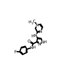 CN1C=CN=C(Nc2c[nH]nc2C(=O)Nc2ccc(F)cc2)C1